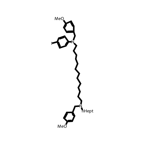 CCCCCCCN(CCCCCCCCCCCCCN(Cc1ccc(OC)cc1)c1ccc(I)cc1)Cc1ccc(OC)cc1